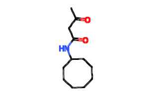 CC(=O)CC(=O)NC1CCCCCCC1